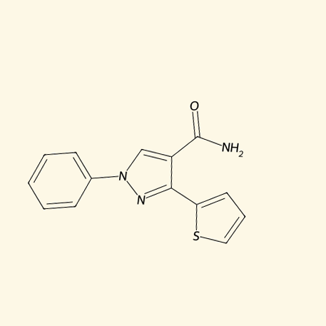 NC(=O)c1cn(-c2ccccc2)nc1-c1cccs1